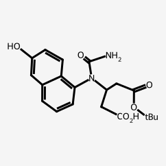 CC(C)(C)OC(=O)CC(CC(=O)O)N(C(N)=O)c1cccc2cc(O)ccc12